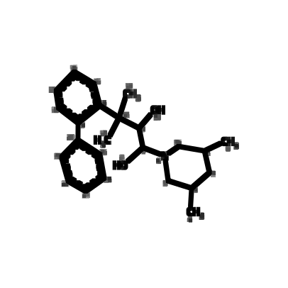 CC1CC(C)CN(C(O)C(O)C(C)(C)c2ccccc2-c2ccccc2)C1